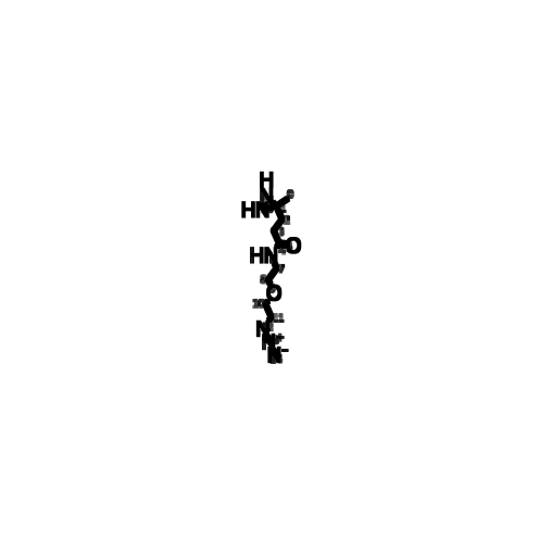 CC1(CCC(=O)NCCOCCN=[N+]=[N-])NN1